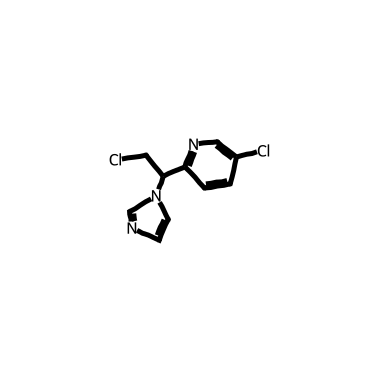 ClCC(c1ccc(Cl)cn1)n1ccnc1